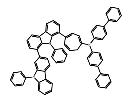 C1=CC(c2cccc3c4cccc(-c5ccc6c7ccccc7n(-c7ccccc7)c6c5)c4n(-c4ccccc4)c23)=CC=C(N(c2ccc(-c3ccccc3)cc2)c2ccc(-c3ccccc3)cc2)C1